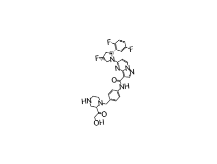 O=C(Nc1ccc(CN2CCNCC2C(=O)CO)cc1)c1cnn2ccc(N3C[C@@H](F)C[C@@H]3c3cc(F)ccc3F)nc12